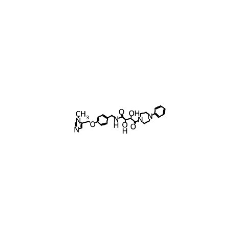 Cn1cncc1COc1ccc(CNC(=O)[C@H](O)[C@@H](O)C(=O)N2CCN(c3ccccc3)CC2)cc1